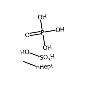 CCCCCCCC.O=P(O)(O)O.O=S(=O)(O)O